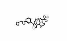 O=C(O)c1c[nH]c2c(C3=COC(c4cccc(OCC5CCC5)c4)O3)ncnc12